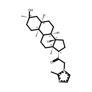 Cc1nccn1CC(=O)[C@H]1CC[C@H]2[C@@H]3CC[C@@H]4C[C@](C)(O)CC[C@]4(C)C3CC[C@]12C